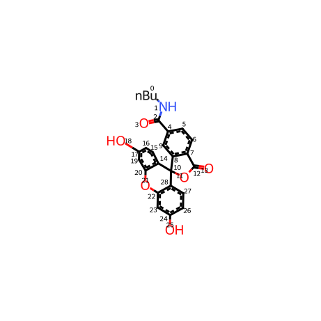 CCCCNC(=O)c1ccc2c(c1)C1(OC2=O)c2ccc(O)cc2Oc2cc(O)ccc21